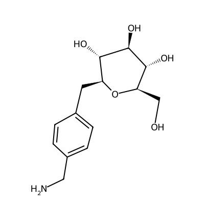 NCc1ccc(C[C@@H]2O[C@H](CO)[C@@H](O)[C@H](O)[C@H]2O)cc1